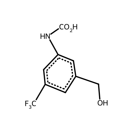 O=C(O)Nc1cc(CO)cc(C(F)(F)F)c1